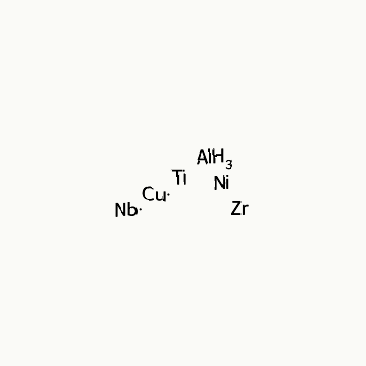 [AlH3].[Cu].[Nb].[Ni].[Ti].[Zr]